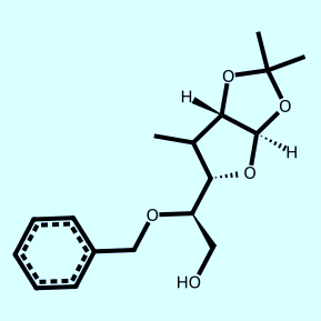 CC1[C@@H]2OC(C)(C)O[C@H]2O[C@@H]1[C@@H](CO)OCc1ccccc1